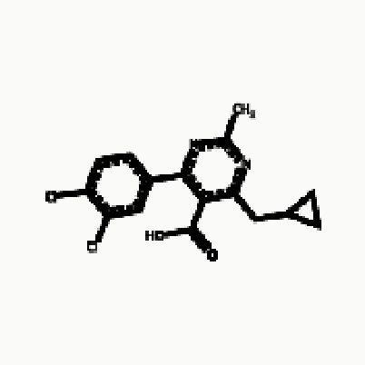 Cc1nc(CC2CC2)c(C(=O)O)c(-c2ccc(Cl)c(Cl)c2)n1